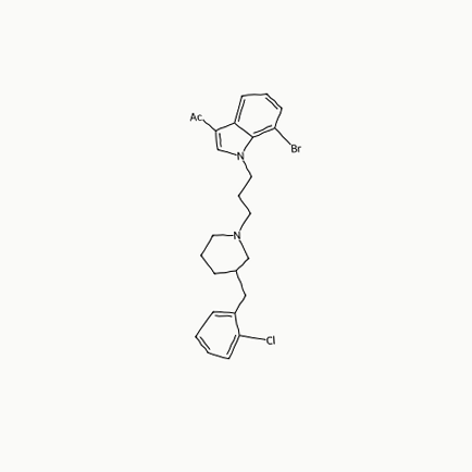 CC(=O)c1cn(CCCN2CCCC(Cc3ccccc3Cl)C2)c2c(Br)cccc12